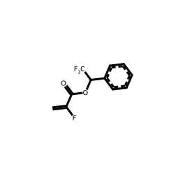 C=C(F)C(=O)OC(c1ccccc1)C(F)(F)F